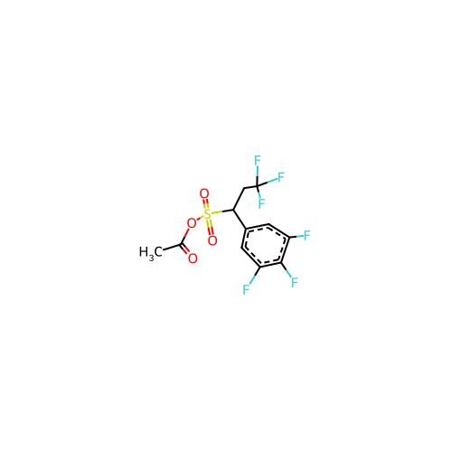 CC(=O)OS(=O)(=O)C(CC(F)(F)F)c1cc(F)c(F)c(F)c1